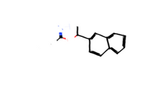 CC(OC(=N)C(Cl)(Cl)Cl)c1ccc2ccccc2c1